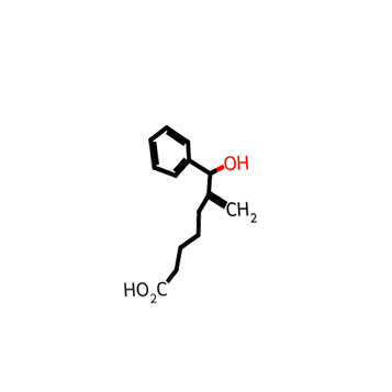 C=C(CCCCC(=O)O)C(O)c1ccccc1